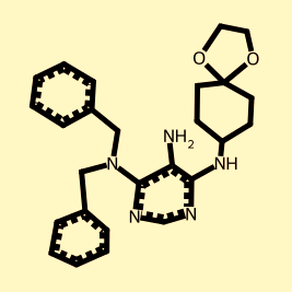 Nc1c(NC2CCC3(CC2)OCCO3)ncnc1N(Cc1ccccc1)Cc1ccccc1